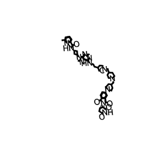 Cc1cccc(C(=O)NC2CC(n3cnc4c(NCCC5CCN(CC6CCN(CC7CCN(c8ccc9c(c8)C(=O)N([C@H]8CCC(=O)NC8=O)C9=O)CC7)CC6)CC5)ncnc43)C2)n1